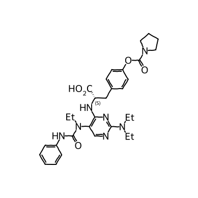 CCN(CC)c1ncc(N(CC)C(=O)Nc2ccccc2)c(N[C@@H](Cc2ccc(OC(=O)N3CCCC3)cc2)C(=O)O)n1